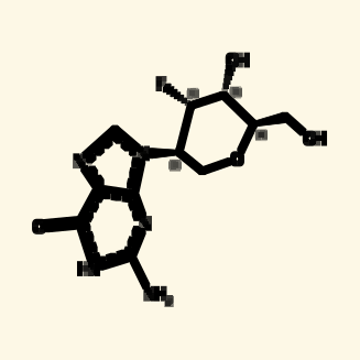 Nc1nc2c(ncn2[C@@H]2CO[C@H](CO)[C@@H](O)[C@H]2F)c(=O)[nH]1